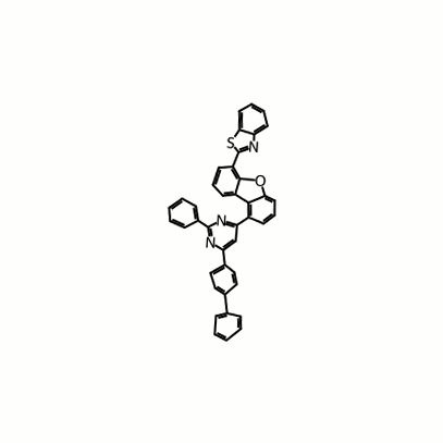 c1ccc(-c2ccc(-c3cc(-c4cccc5oc6c(-c7nc8ccccc8s7)cccc6c45)nc(-c4ccccc4)n3)cc2)cc1